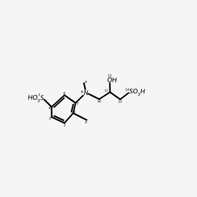 Cc1ccc(S(=O)(=O)O)cc1N(C)CC(O)CS(=O)(=O)O